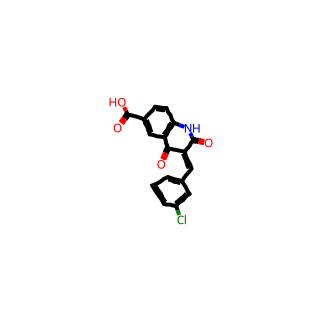 O=C1Nc2ccc(C(=O)O)cc2C(=O)/C1=C\c1cccc(Cl)c1